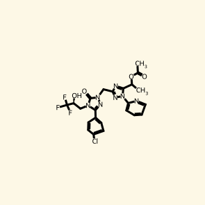 CC(=O)OC(C)c1nc(Cn2nc(-c3ccc(Cl)cc3)n(C[C@H](O)C(F)(F)F)c2=O)nn1-c1ccccn1